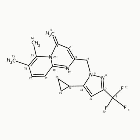 C=C1C=C(Cn2nc(C(F)(F)F)cc2C2CC2)N=C2C=CC(C)=C(C)N12